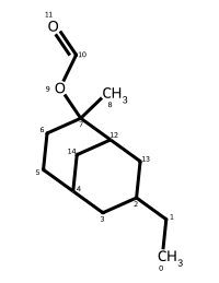 CCC1CC2CCC(C)(OC=O)C(C1)C2